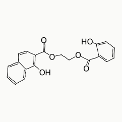 O=C(OCCOC(=O)c1ccc2ccccc2c1O)c1ccccc1O